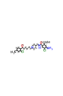 COc1cc(N)c(Cl)cc1C(=O)NCC1CCN(CCCCCC(=O)c2ccc(C)cc2Cl)CC1